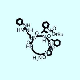 CC(C)(C)OC(=O)n1cc(C[C@@H]2NC(=O)[C@@H](CC3CCCCC3)NC(=O)[C@@H]3CCCN3C(=O)[C@@H](N)CCCNC(=O)[C@H](CCCNC(=N)Nc3ccccc3)NC2=O)c2ccccc21